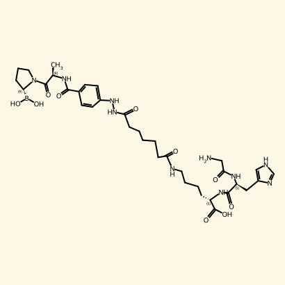 C[C@@H](NC(=O)c1ccc(NNC(=O)CCCCCC(=O)NCCCC[C@H](NC(=O)[C@H](Cc2c[nH]cn2)NC(=O)CN)C(=O)O)cc1)C(=O)N1CCC[C@H]1B(O)O